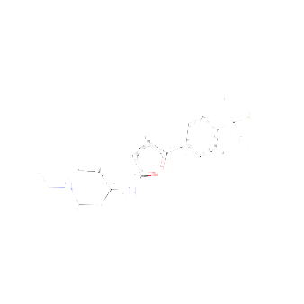 CCN1CCC(N(C)c2ccc(-c3ccc(C(F)(F)F)cc3)o2)CC1